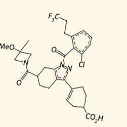 COC1(C)CN(C(=O)C2CCc3c(C4=CCC(C(=O)O)CC4)nn(C(=O)c4c(Cl)cccc4CCC(F)(F)F)c3C2)C1